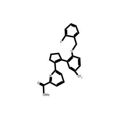 COC(=O)c1cccc(C2=C(c3cc(C(F)(F)F)ccc3OCc3ccccc3F)CCC2)n1